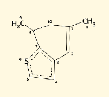 CC1=Cc2ccsc2C(C)C1